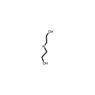 OCC[N]CCO